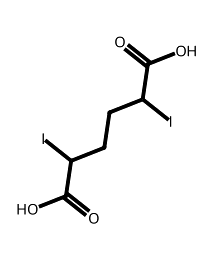 O=C(O)C(I)CCC(I)C(=O)O